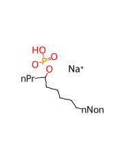 CCCCCCCCCCCCCCC(CCC)OP(=O)([O-])O.[Na+]